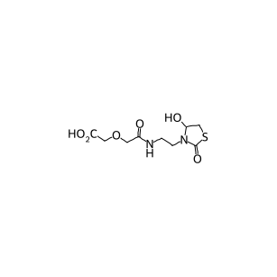 O=C(O)COCC(=O)NCCN1C(=O)SCC1O